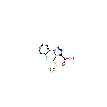 CSCc1c(C(=O)O)nnn1-c1ccccc1F